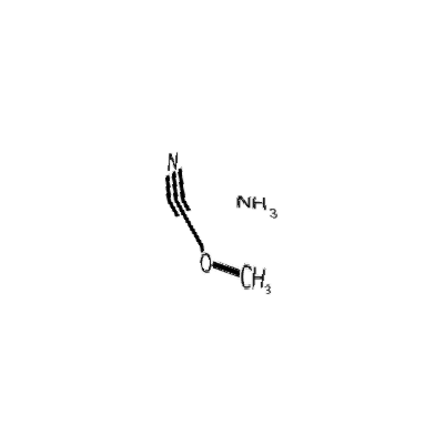 COC#N.N